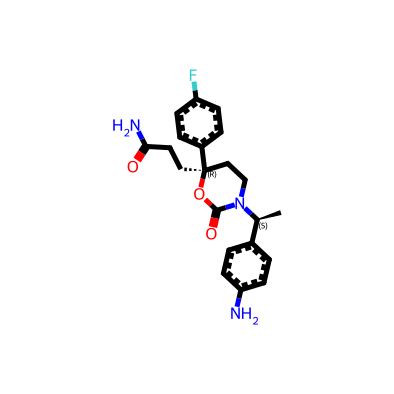 C[C@@H](c1ccc(N)cc1)N1CC[C@](CCC(N)=O)(c2ccc(F)cc2)OC1=O